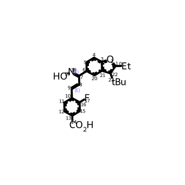 CCc1oc2ccc(C(/C=C/c3ccc(C(=O)O)cc3F)=N/O)cc2c1C(C)(C)C